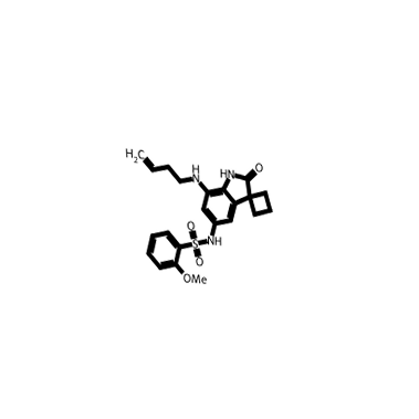 C=CCCNc1cc(NS(=O)(=O)c2ccccc2OC)cc2c1NC(=O)C21CCC1